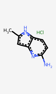 Cc1cc2nc(N)ccc2[nH]1.Cl